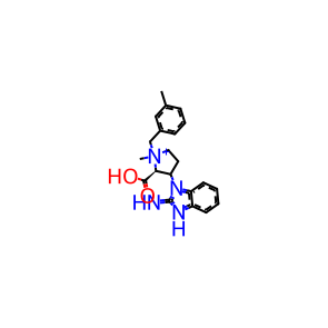 Cc1cccc(C[N+]2(C)CCC(n3c(=N)[nH]c4ccccc43)[C@H]2C(=O)O)c1